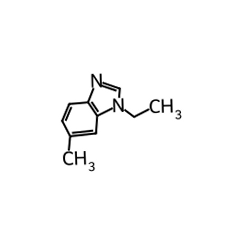 CCn1cnc2ccc(C)cc21